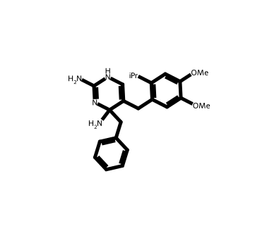 COc1cc(CC2=CNC(N)=NC2(N)Cc2ccccc2)c(C(C)C)cc1OC